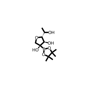 CC(O)[C@H]1OC[C@@](O)(B2OC(C)(C)C(C)(C)O2)[C@@H]1O